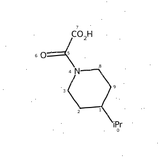 CC(C)C1CCN(C(=O)C(=O)O)CC1